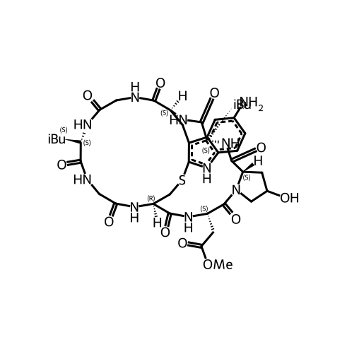 CC[C@H](C)[C@@H]1NC(=O)CNC(=O)[C@@H]2Cc3c([nH]c4ccc(N)cc34)SC[C@H](NC(=O)CNC1=O)C(=O)N[C@@H](CC(=O)OC)C(=O)N1CC(O)C[C@H]1C(=O)N[C@@H]([C@@H](C)CC)C(=O)N2